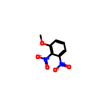 COc1cccc([N+](=O)[O-])c1[N+](=O)[O-]